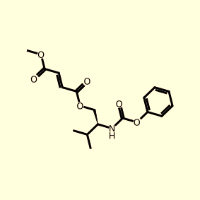 COC(=O)/C=C/C(=O)OC[C@@H](NC(=O)Oc1ccccc1)C(C)C